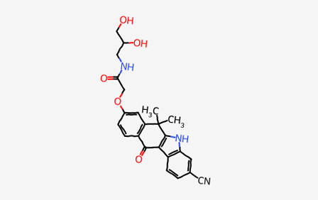 CC1(C)c2cc(OCC(=O)NCC(O)CO)ccc2C(=O)c2c1[nH]c1cc(C#N)ccc21